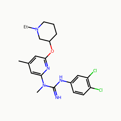 CCN1CCCC(Oc2cc(C)cc(N(C)C(=N)Nc3ccc(Cl)c(Cl)c3)n2)C1